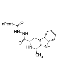 CCCCCC(=O)NNC(=O)C1Cc2c([nH]c3ccccc23)C(C)N1